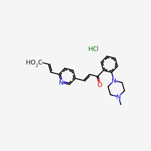 CN1CCN(c2ccccc2C(=O)C=Cc2ccc(C=CC(=O)O)nc2)CC1.Cl